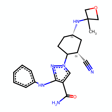 CC1(N[C@H]2CCC(n3cc(C(N)=O)c(Nc4ccccc4)n3)[C@@H](C#N)C2)COC1